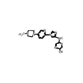 CN1CCN(c2ccc(-n3cnc(Nc4cnc(C#N)cn4)c3)nc2)CC1